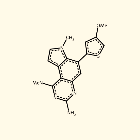 CNc1nc(N)nc2cc(-c3cc(OC)cs3)c3c(ccn3C)c12